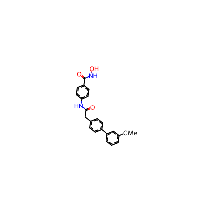 COc1cccc(-c2ccc(CC(=O)Nc3ccc(C(=O)NO)cc3)cc2)c1